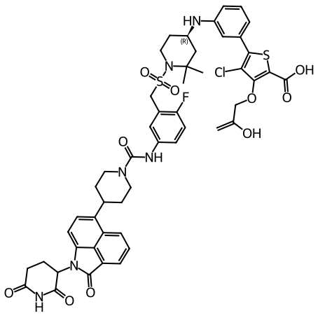 C=C(O)COc1c(C(=O)O)sc(-c2cccc(N[C@@H]3CCN(S(=O)(=O)Cc4cc(NC(=O)N5CCC(c6ccc7c8c(cccc68)C(=O)N7C6CCC(=O)NC6=O)CC5)ccc4F)C(C)(C)C3)c2)c1Cl